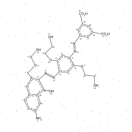 Nc1ccc2cc(SOOO)c(N=Nc3cc(OCCO)c(N=Nc4cc(C(=O)O)cc(C(=O)O)c4)cc3OCCO)c(O)c2c1